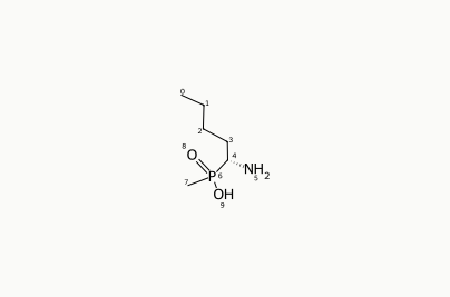 CCCC[C@H](N)P(C)(=O)O